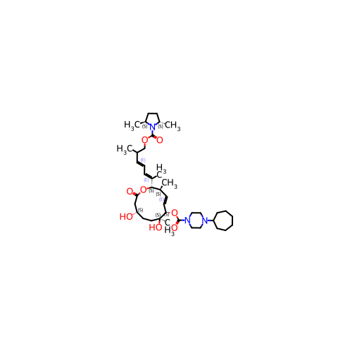 C/C(=C\C=C\C(C)COC(=O)N1[C@@H](C)CC[C@@H]1C)[C@H]1OC(=O)C[C@@H](O)CC[C@](C)(O)[C@@H](OC(=O)N2CCN(C3CCCCCC3)CC2)/C=C/[C@@H]1C